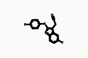 N#CCc1c(Sc2ccc(F)cc2)sc2ccc(F)cc12